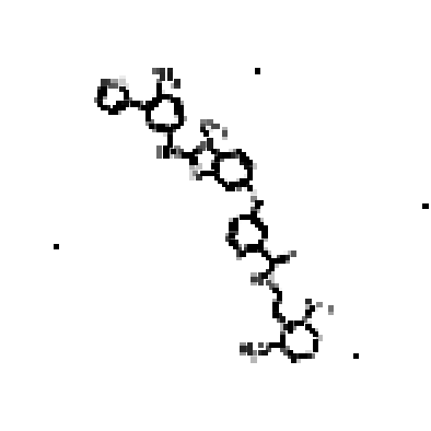 Cc1ccc(Nc2nc3cc(Oc4ccnc(C(=O)NCCN5C(C)CCCC5C)c4)ccc3n2C)cc1-c1cccs1